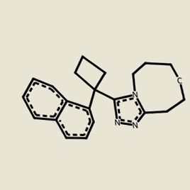 c1ccc2c(C3(c4nnc5n4CCCCCC5)CCC3)cccc2c1